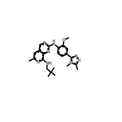 COc1cc(-c2nnc(C)n2C)ccc1Nc1ncc2cc(C)nc(NCC(C)(C)C)c2n1